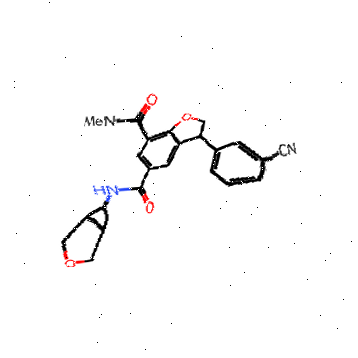 CNC(=O)c1cc(C(=O)NC2C3COCC32)cc2c1OCC2c1cccc(C#N)c1